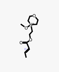 C/C=C/C(=O)OCC[N+]1(OC)CCOCC1